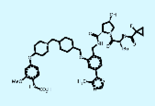 COc1cc(OC2CCN(CC3CCC(COc4cc(-c5scnc5C)ccc4CNC(=O)[C@@H]4C[C@@H](O)CN4C(=O)[C@@H](NC(=O)C4(F)CC4)C(C)(C)C)CC3)CC2)ccc1NC(=O)O